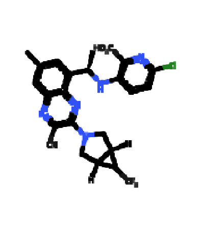 Cc1cc([C@@H](C)Nc2ccc(Cl)nc2C(=O)O)c2nc(N3C[C@@H]4C(C(F)(F)F)[C@@H]4C3)c(C#N)nc2c1